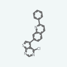 Clc1ncnc2scc(-c3ccc4ccc(-c5ccccc5)nc4c3)c12